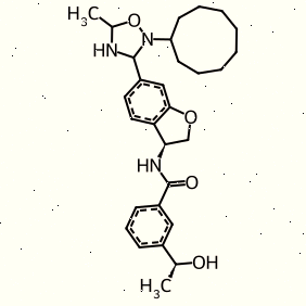 CC1NC(c2ccc3c(c2)OC[C@H]3NC(=O)c2cccc([C@H](C)O)c2)N(C2CCCCCCCC2)O1